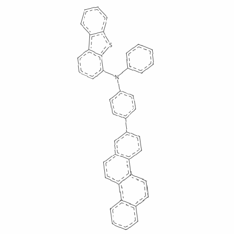 c1ccc(N(c2ccc(-c3ccc4c(ccc5c6ccccc6ccc45)c3)cc2)c2cccc3c2sc2ccccc23)cc1